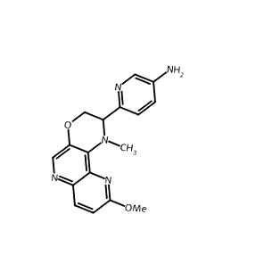 COc1ccc2ncc3c(c2n1)N(C)C(c1ccc(N)cn1)CO3